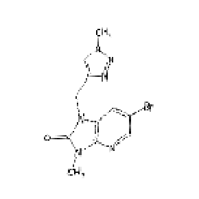 Cn1cc(Cn2c(=O)n(C)c3ncc(Br)cc32)nn1